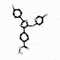 COC(=O)c1ccc(-c2nc(-c3ccc(F)cc3)oc2Sc2ccc(Cl)cn2)cc1